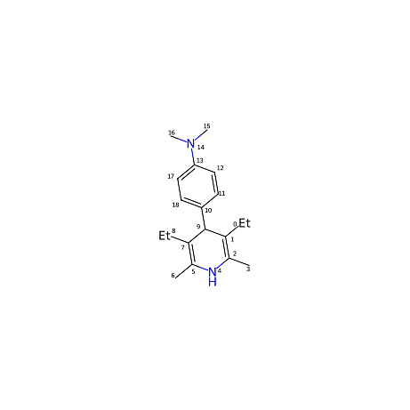 CCC1=C(C)NC(C)=C(CC)C1c1ccc(N(C)C)cc1